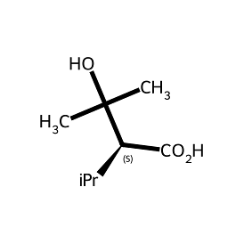 CC(C)[C@H](C(=O)O)C(C)(C)O